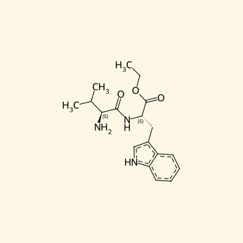 CCOC(=O)[C@H](Cc1c[nH]c2ccccc12)NC(=O)[C@@H](N)C(C)C